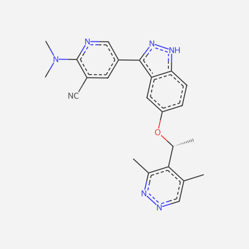 Cc1cnnc(C)c1[C@@H](C)Oc1ccc2[nH]nc(-c3cnc(N(C)C)c(C#N)c3)c2c1